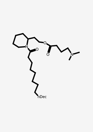 CCCCCCCCCCCCCCCCCC(=O)N1CCCCC1CCOC(=O)CCCN(C)C